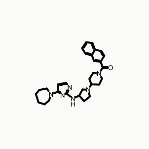 O=C(c1ccc2ccccc2c1)N1CCC(N2CCC(Nc3nccc(N4CCCCCC4)n3)C2)CC1